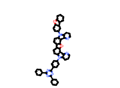 c1ccc(-c2nc(-c3ccccc3)nc(-c3ccc(-n4c5cccnc5c5c6oc7c(ccc8c7c7ncccc7n8-c7ccc8oc9ccccc9c8c7)c6ccc54)cc3)n2)cc1